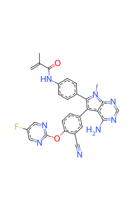 C=C(C)C(=O)Nc1ccc(-c2c(-c3ccc(Oc4ncc(F)cn4)c(C#N)c3)c3c(N)ncnc3n2C)cc1